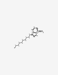 CCCCCCCCCCn1ncc2c(N)nccc21